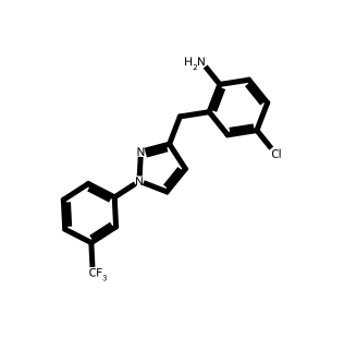 Nc1ccc(Cl)cc1Cc1ccn(-c2cccc(C(F)(F)F)c2)n1